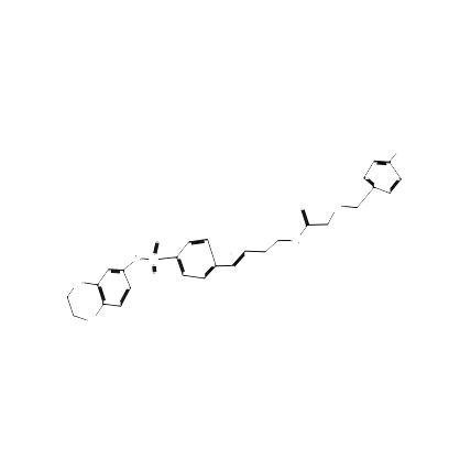 O=C(COCc1ccc(F)cc1)NCC/C=C/c1ccc(S(=O)(=O)Nc2ccc3c(c2)OCCO3)cc1